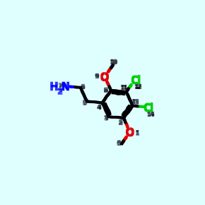 COc1cc(CCN)c(OC)c(Cl)c1Cl